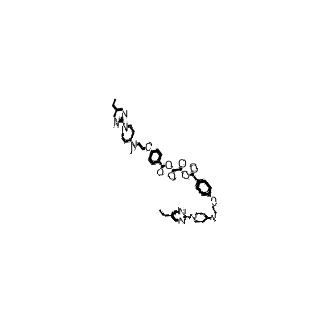 CCc1cnc(N2CCC(N(C)CCOc3ccc(C(=O)OC(=O)C(=O)OC(=O)c4ccc(OCCN(C)C5CCN(c6ncc(CC)cn6)CC5)cc4)cc3)CC2)nc1